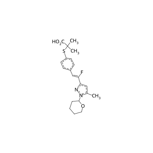 Cc1cc(/C(F)=C/c2ccc(SC(C)(C)C(=O)O)cc2)nn1C1CCCCO1